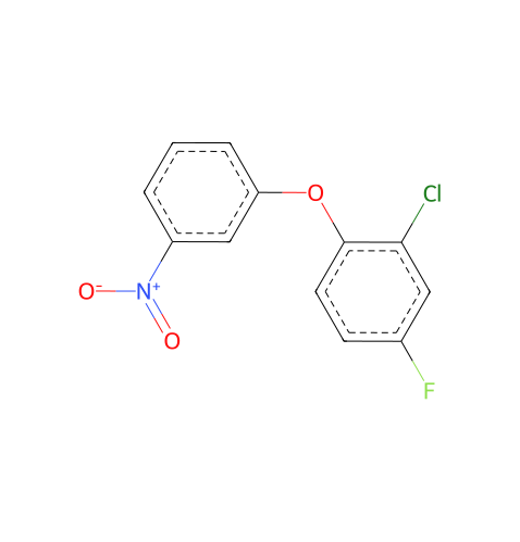 O=[N+]([O-])c1cccc(Oc2ccc(F)cc2Cl)c1